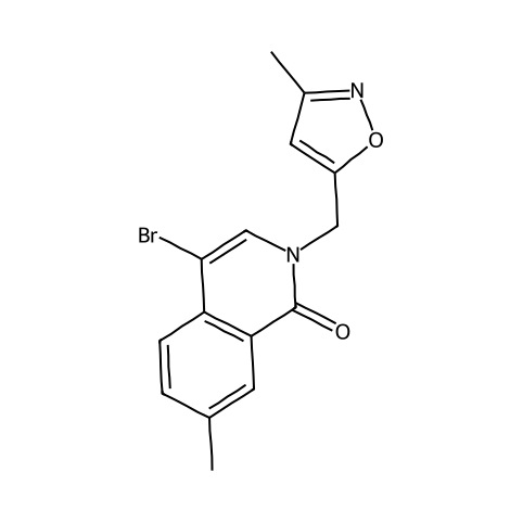 Cc1ccc2c(Br)cn(Cc3cc(C)no3)c(=O)c2c1